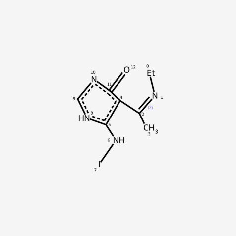 CC/N=C(/C)c1c(NI)[nH]cnc1=O